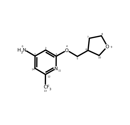 Nc1cc(OCC2CCOC2)nc(C(F)(F)F)c1